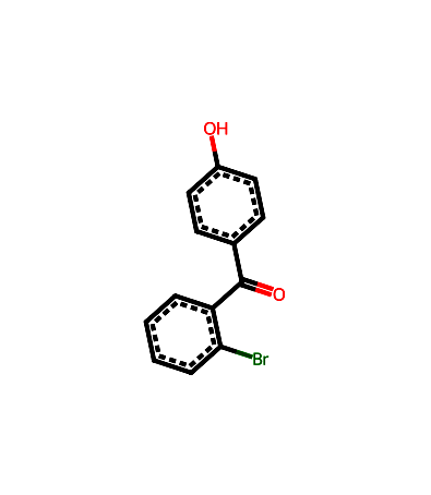 O=C(c1ccc(O)cc1)c1ccccc1Br